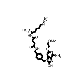 COCCOc1nc(N)c2nc(O)n(Cc3ccc(CNC(=O)CCC(=O)NC(CCCCN=[N+]=[N-])C(=O)O)cc3)c2n1